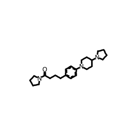 O=C(CCCc1ccc(N2CCC(N3CCCC3)CC2)cc1)N1CCCC1